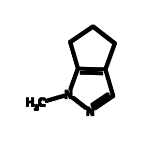 Cn1ncc2c1CCC2